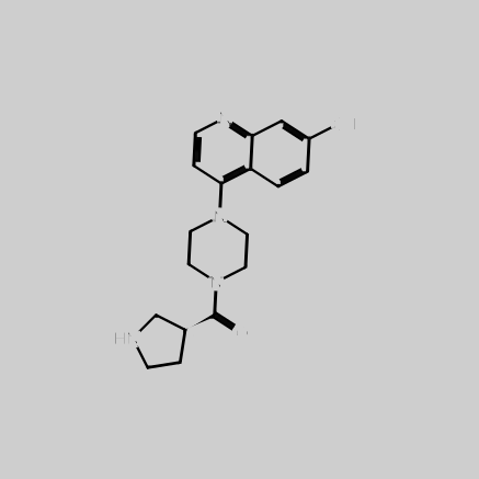 Cc1ccc2c(N3CCN(C(=O)[C@H]4CCNC4)CC3)ccnc2c1